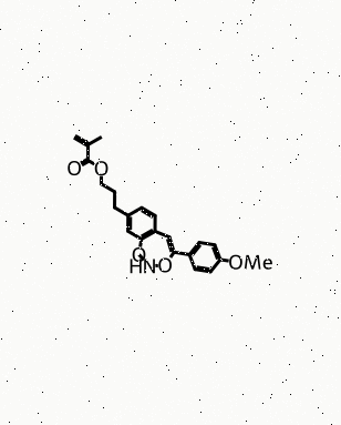 C=C(C)C(=O)OCCCc1ccc2cc(-c3ccc(OC)cc3)o[nH]oc2c1